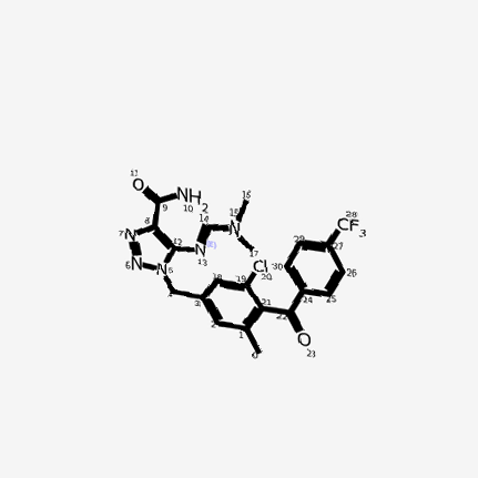 Cc1cc(Cn2nnc(C(N)=O)c2/N=C/N(C)C)cc(Cl)c1C(=O)c1ccc(C(F)(F)F)cc1